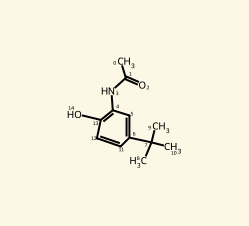 CC(=O)Nc1cc(C(C)(C)C)ccc1O